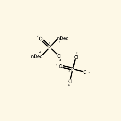 CCCCCCCCCCP(=O)(Cl)CCCCCCCCCC.O=P(Cl)(Cl)Cl